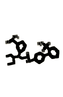 CCC(CC)N(CC(=O)Nc1ccc(-c2ccccc2S(N)(=O)=O)cc1)c1cccc(C(=N)N)c1